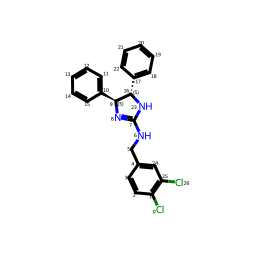 Clc1ccc(CNC2=N[C@@H](c3ccccc3)[C@H](c3ccccc3)N2)cc1Cl